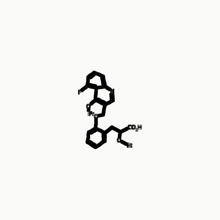 CCOC(Cc1ccccc1OCc1cnc2cccc(F)c2c1OC(C)C)C(=O)O